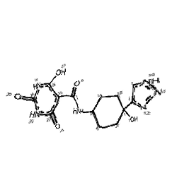 O=C(NC1CCC(O)(c2c[nH]nn2)CC1)c1c(O)[nH]c(=O)[nH]c1=O